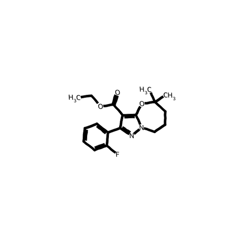 CCOC(=O)c1c(-c2ccccc2F)nn2c1OC(C)(C)CCC2